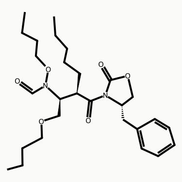 CCCCC[C@@H](C(=O)N1C(=O)OC[C@@H]1Cc1ccccc1)[C@@H](COCCCC)N(C=O)OCCCC